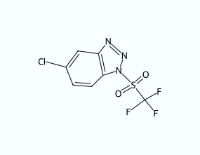 O=S(=O)(n1nnc2cc(Cl)ccc21)C(F)(F)F